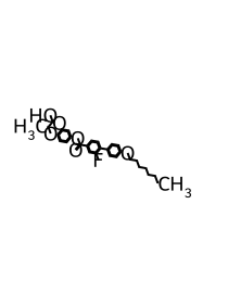 CCCCCCCCOc1ccc(-c2ccc(C(=O)Oc3ccc(OC(C)C(=O)O)cc3)cc2F)cc1